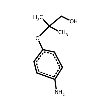 CC(C)(CO)Oc1ccc(N)cc1